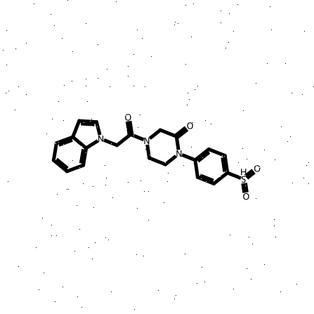 O=C(Cn1ccc2ccccc21)N1CCN(c2ccc([SH](=O)=O)cc2)C(=O)C1